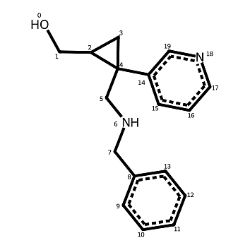 OCC1CC1(CNCc1ccccc1)c1cccnc1